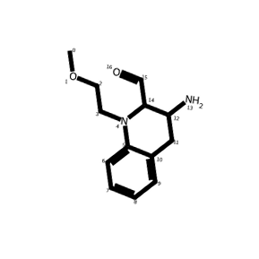 COCCN1c2ccccc2CC(N)C1C=O